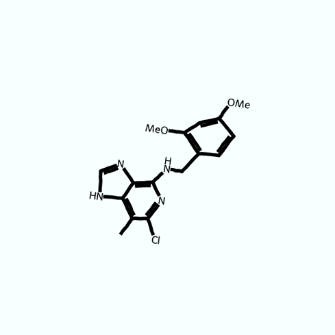 COc1ccc(CNc2nc(Cl)c(C)c3[nH]cnc23)c(OC)c1